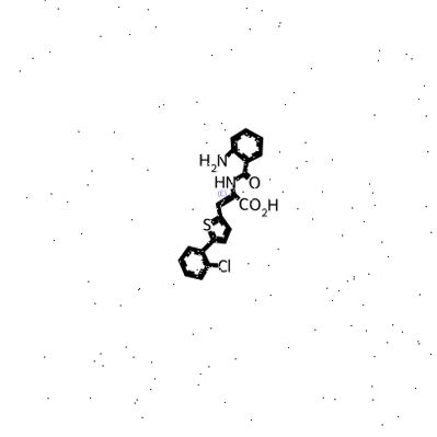 Nc1ccccc1C(=O)N/C(=C/c1ccc(-c2ccccc2Cl)s1)C(=O)O